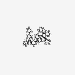 c1ccc(-c2ccc(N(c3ccncc3)c3cccc(-c4ccc5c6c(cccc46)-c4c-5c(-c5ccccc5)c5ccccc5c4-c4ccccc4)c3)cc2)cc1